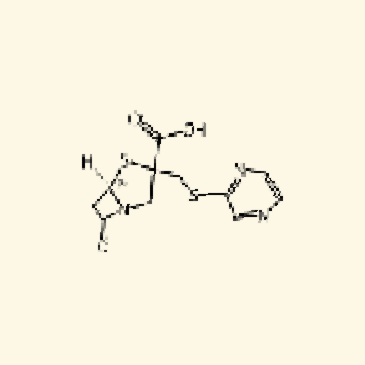 O=C1C[C@H]2SC(CSc3cnccn3)(C(=O)O)CN12